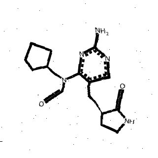 Nc1ncc(C[C@@H]2CCNC2=O)c(N(C=O)C2CCCC2)n1